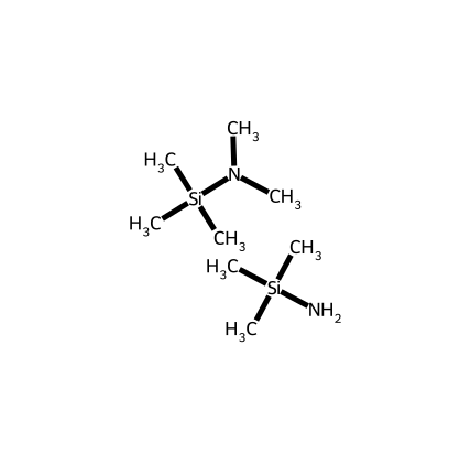 CN(C)[Si](C)(C)C.C[Si](C)(C)N